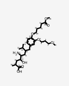 COCCCOc1cc(CC(CC(N)C(O)CC(C)C(=O)O)C(C)C)ccc1OCCCCC(=O)OC